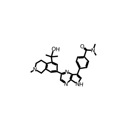 CN1CCc2c(cc(-c3cnc4[nH]cc(-c5ccc(C(=O)N(C)C)cc5)c4n3)cc2C(C)(C)O)C1